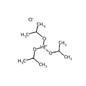 CC(C)[O][Hf+]([O]C(C)C)[O]C(C)C.[Cl-]